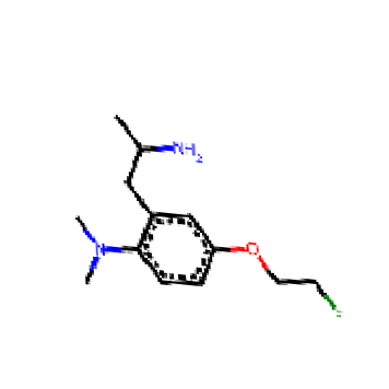 CC(N)Cc1cc(OCCF)ccc1N(C)C